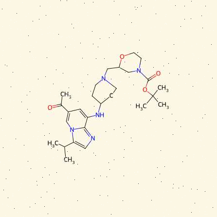 CC(=O)c1cc(NC2CCN(CC3CN(C(=O)OC(C)(C)C)CCO3)CC2)c2ncc(C(C)C)n2c1